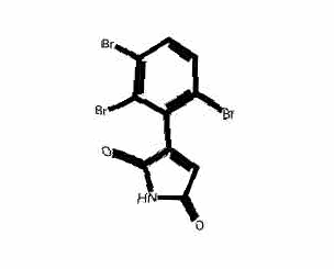 O=C1C=C(c2c(Br)ccc(Br)c2Br)C(=O)N1